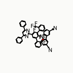 N#Cc1ccc2c(c1)c1cc(C#N)ccc1n2-c1c(-c2ccccc2C(F)(F)F)cc(-c2nc(-c3ccccc3)cc(-c3ccccc3)n2)cc1-c1ccccc1C(F)(F)F